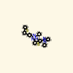 c1ccc(-c2nc(-c3ccc(-c4cccc5c4sc4ccccc45)cc3)nc(-c3cccc4sc5cc(-c6nc7ccccc7n6-c6ccccc6)ccc5c34)n2)cc1